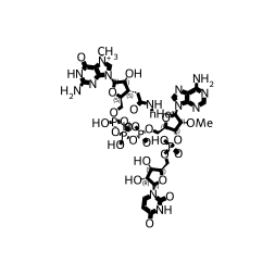 CCCCCCNC(=O)C[C@H]1[C@@H](O)[C@H](n2c[n+](C)c3c(=O)[nH]c(N)nc32)O[C@@H]1COP(=O)(O)OP(=O)(O)OP(=O)(O)OC[C@H]1O[C@@H](n2cnc3c(N)ncnc32)[C@H](OC)[C@@H]1OP(=O)(O)OC[C@H]1O[C@@H](n2ccc(=O)[nH]c2=O)[C@H](O)[C@@H]1O